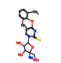 Cc1cccc(C)c1Oc1ccn(C2OC(N)(CO)C(O)C2O)c(=S)n1